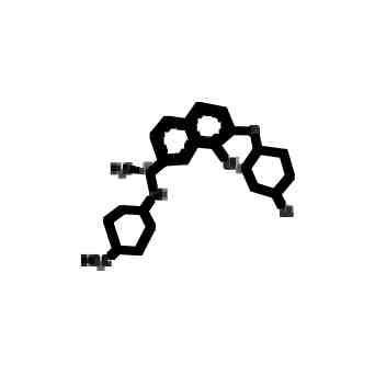 CCC1CCC(Oc2ccc3ccc([C@@H](C)NC4CCC(C(=O)O)CC4)cc3c2C(F)(F)F)CC1